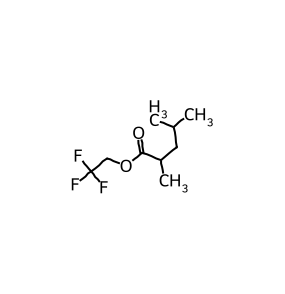 CC(C)CC(C)C(=O)OCC(F)(F)F